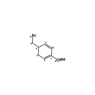 COC1=CCC(CC(C)=O)C=C1